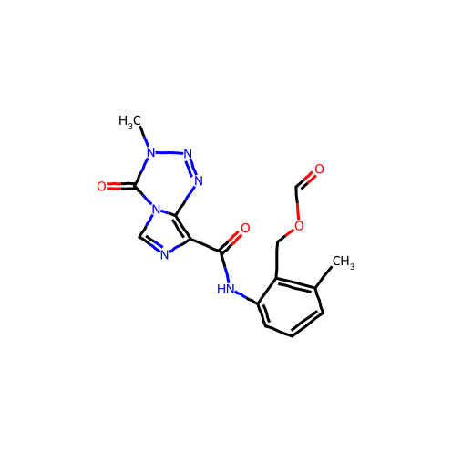 Cc1cccc(NC(=O)c2ncn3c(=O)n(C)nnc23)c1COC=O